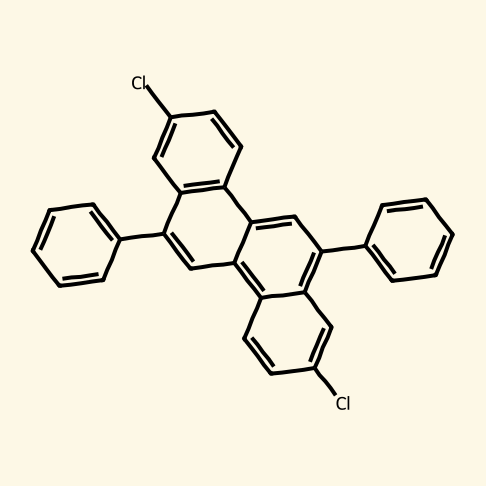 Clc1ccc2c(c1)c(-c1ccccc1)cc1c3ccc(Cl)cc3c(-c3ccccc3)cc21